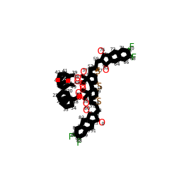 O=C1C(=Cc2cc3c(s2)-c2sc4c(c2C3(C(=O)OCc2ccccc2)C(=O)OCc2ccccc2)C(C(=O)OCc2ccccc2)(C(=O)OCc2ccccc2)c2cc(C=C3C(=O)c5cc6cc(F)c(F)cc6cc5C3=O)sc2-4)C(=O)c2cc3cc(F)c(F)cc3cc21